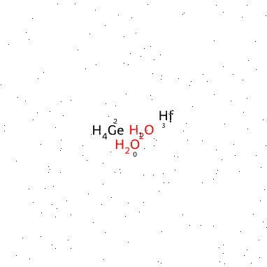 O.O.[GeH4].[Hf]